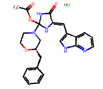 Cl.O=C1NC(OC(=O)C(F)(F)F)(N2CCO[C@H](Cc3ccccc3)C2)NC1=Cc1c[nH]c2ncccc12